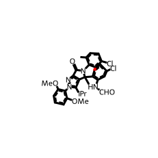 COc1cccc(OC)c1-n1nc2c(c1C(C)C)C(C)(c1ccc(Cl)cc1NC=O)N(c1cc(Cl)ccc1C)C2=O